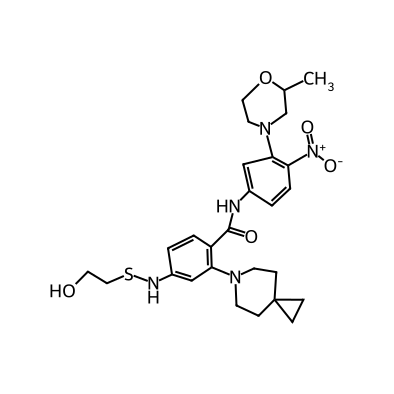 CC1CN(c2cc(NC(=O)c3ccc(NSCCO)cc3N3CCC4(CC3)CC4)ccc2[N+](=O)[O-])CCO1